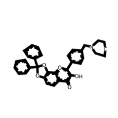 O=c1c(O)c(-c2ccc(CN3CCCCC3)cc2)oc2c3c(ccc12)OC(c1ccccc1)(c1ccccc1)O3